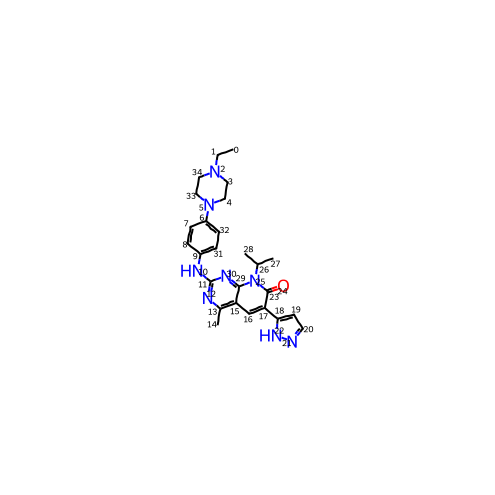 CCN1CCN(c2ccc(Nc3nc(C)c4cc(-c5ccn[nH]5)c(=O)n(C(C)C)c4n3)cc2)CC1